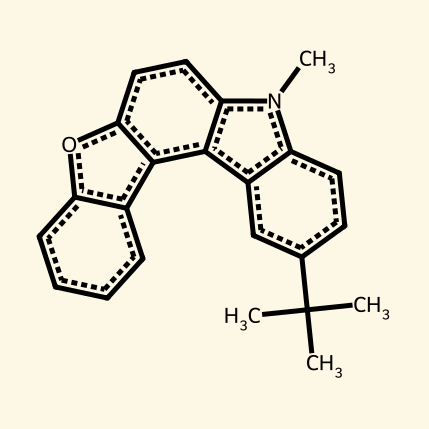 Cn1c2ccc(C(C)(C)C)cc2c2c3c(ccc21)oc1ccccc13